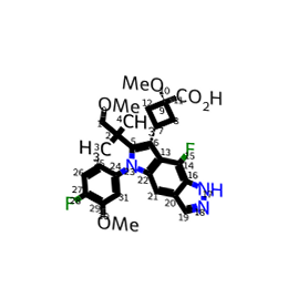 COCC(C)(C)c1c([C@H]2C[C@](OC)(C(=O)O)C2)c2c(F)c3[nH]ncc3cc2n1-c1ccc(F)c(OC)c1